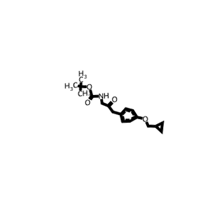 CC(C)(C)OC(=O)NCC(=O)Cc1ccc(OCC2CC2)cc1